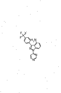 Nc1cccc2c1c(-c1ccc(C(F)(F)F)cc1)nn2-c1ccncn1